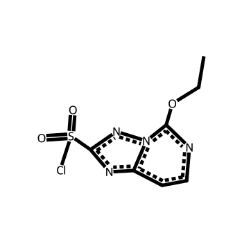 CCOc1nccc2nc(S(=O)(=O)Cl)nn12